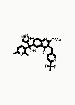 COc1nc2ccc(C(O)(c3ccc(C)nc3C)c3cnnn3C)cc2c(Cl)c1Cc1ccc(C(C)(F)F)nc1